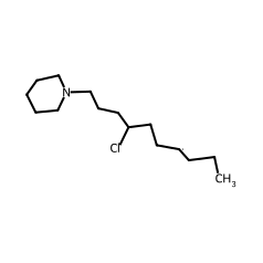 CCC[CH]CCC(Cl)CCCN1CCCCC1